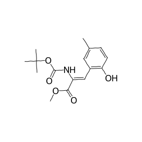 COC(=O)C(=Cc1cc(C)ccc1O)NC(=O)OC(C)(C)C